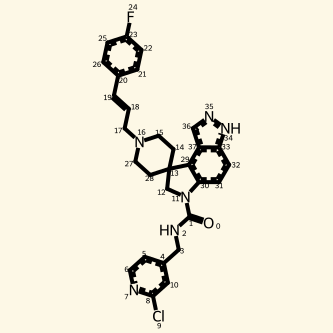 O=C(NCc1ccnc(Cl)c1)N1CC2(CCN(C/C=C/c3ccc(F)cc3)CC2)c2c1ccc1[nH]ncc21